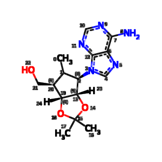 CC1[C@@H](n2cnc3c(N)ncnc32)[C@@H]2OC(C)(C)O[C@@H]2[C@H]1CO